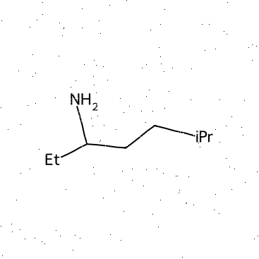 CCC(N)CCC(C)C